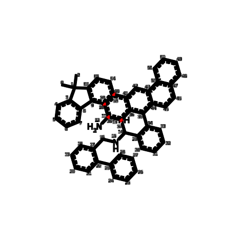 CC1(C)c2ccccc2-c2c(C(N)NC(NCc3ccccc3-c3ccccc3)c3ccccc3-c3c4ccccc4cc4c3ccc3ccccc34)cccc21